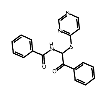 O=C(NC(Sc1ccncn1)C(=O)c1ccccc1)c1ccccc1